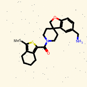 CSc1sc(C(=O)N2CCC3(CC2)COc2ccc(CN)cc23)c2c1CCCC2